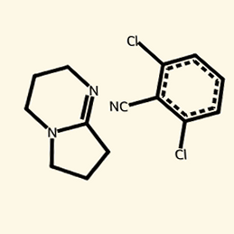 C1CN=C2CCCN2C1.N#Cc1c(Cl)cccc1Cl